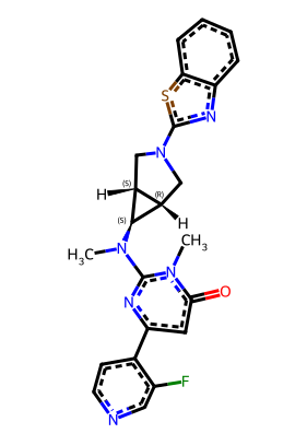 CN(c1nc(-c2ccncc2F)cc(=O)n1C)[C@H]1[C@@H]2CN(c3nc4ccccc4s3)C[C@@H]21